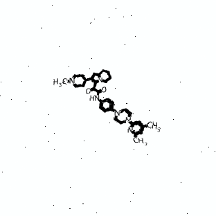 Cc1cc(C)nc(N2CCN(c3ccc(NC(=O)C(=O)c4c(C5CCN(C)CC5)cc5n4CCCC5)cc3)CC2)c1